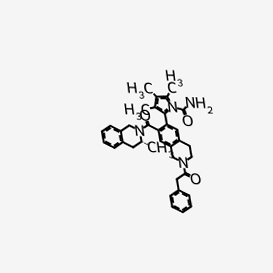 Cc1c(C)c(-c2cc3c(cc2C(=O)N2Cc4ccccc4C[C@H]2C)CN(C(=O)Cc2ccccc2)CC3)n(C(N)=O)c1C